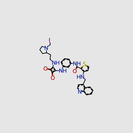 O=C(Nc1cccc(Nc2c(NCCC3CCCN3CI)c(=O)c2=O)c1)c1sccc1NCc1ccnc2ccccc12